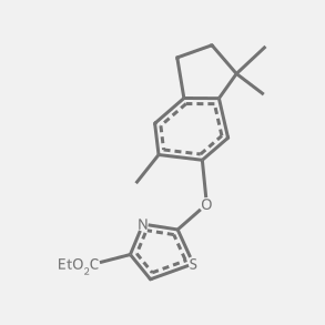 CCOC(=O)c1csc(Oc2cc3c(cc2C)CCC3(C)C)n1